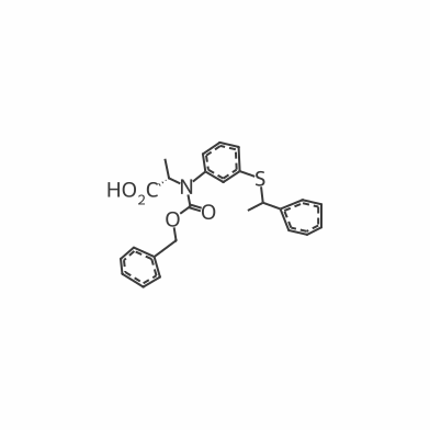 CC(Sc1cccc(N(C(=O)OCc2ccccc2)[C@@H](C)C(=O)O)c1)c1ccccc1